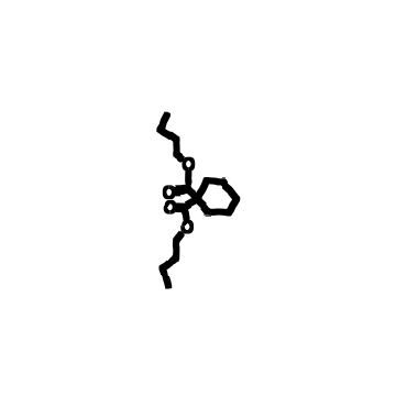 CCCCOC(=O)C1(C(=O)OCCCC)CCCCC1